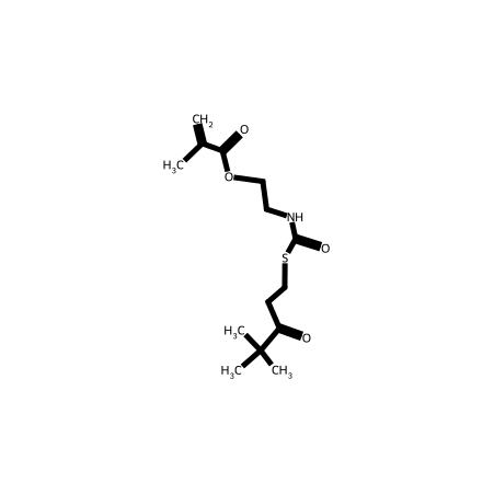 C=C(C)C(=O)OCCNC(=O)SCCC(=O)C(C)(C)C